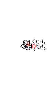 C=C(C)C(=C)OCCOC1CC2CCC1(C)C2(C)C